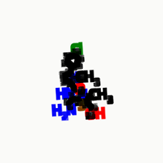 Cc1nc(C(CN)NC(=O)c2ccc(-c3ccc(Cl)cc3)n2C)sc1CO